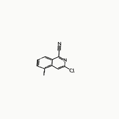 Cc1cccc2c(C#N)nc(Cl)cc12